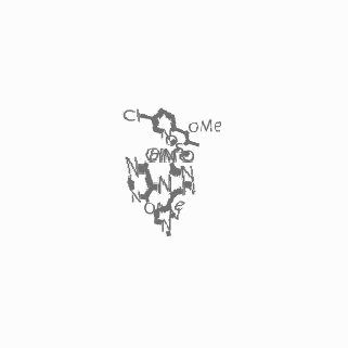 COc1ncnc(OC)c1-n1c(NS(=O)(=O)C(C)C(OC)c2ccc(Cl)cn2)nnc1-c1ccn(C)n1